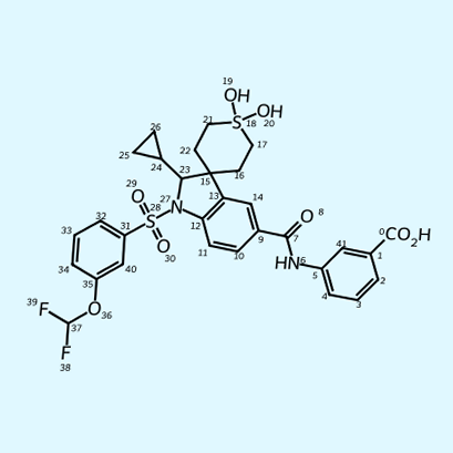 O=C(O)c1cccc(NC(=O)c2ccc3c(c2)C2(CCS(O)(O)CC2)C(C2CC2)N3S(=O)(=O)c2cccc(OC(F)F)c2)c1